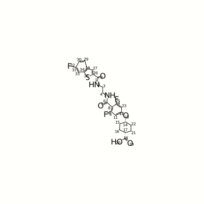 O=C(NCCNC(=O)c1c(F)cc(O[C@H]2CC[C@@H](C(=O)O)CC2)cc1F)c1cc2ccc(F)cc2s1